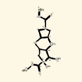 CC(C)(C)OC(=O)N1CC2OC3C[N+](O)(C(=O)OC(C)(C)C)C(O)C3OC2C1